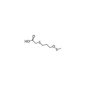 CSOCCCSCC(=O)O